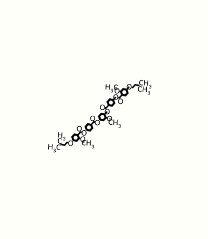 COc1cc(OC(=O)c2ccc(OC(=O)c3ccc(OCCC(C)C)cc3OC)cc2)ccc1OC(=O)c1ccc(OC(=O)c2ccc(OCCC(C)C)cc2OC)cc1